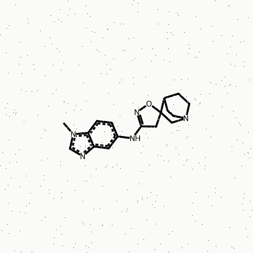 Cn1cnc2cc(NC3=NOC4(C3)CN3CCC4CC3)ccc21